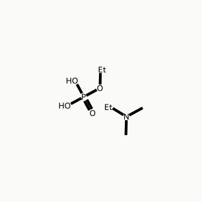 CCN(C)C.CCOP(=O)(O)O